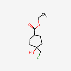 CCOC(=O)C1CCC(O)(CF)CC1